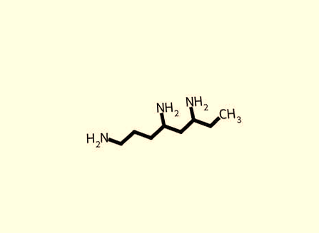 CCC(N)CC(N)CCCN